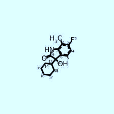 Cc1c(F)ccc2c1NC(=O)C2(O)C1CCCCC1